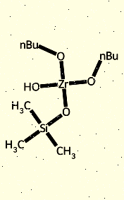 CCCC[O][Zr]([OH])([O]CCCC)[O][Si](C)(C)C